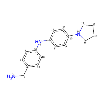 NCc1ccc(Nc2ccc(N3CCCC3)cc2)cc1